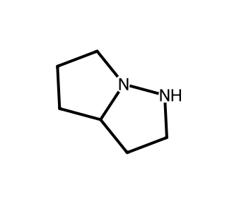 C1CC2CCNN2C1